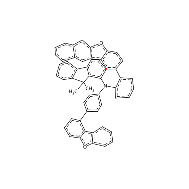 CC1(C)c2ccccc2-c2cccc(N(c3ccc(-c4cccc5oc6ccccc6c45)cc3)c3ccccc3-c3ccc4oc5cc6ccccc6cc5c4c3)c21